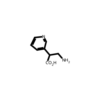 NCC(C(=O)O)c1cccnc1